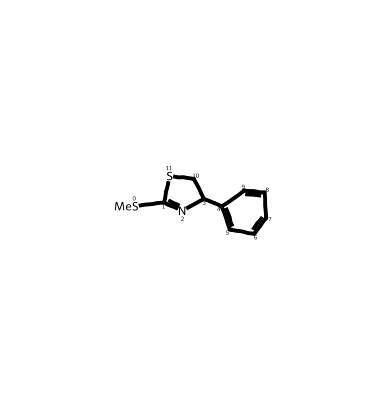 CSC1=NC(c2ccccc2)CS1